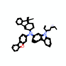 C=C/C(=C\C=C/C)n1c2cc(N(c3ccc4c(c3)oc3ccccc34)C3C=C4c5ccccc5C(C)(C)C4CC3)c#cc2c2ccccc21